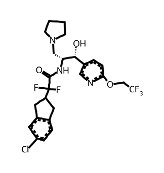 O=C(N[C@H](CN1CCCC1)[C@H](O)c1ccc(OCC(F)(F)F)nc1)C(F)(F)C1Cc2ccc(Cl)cc2C1